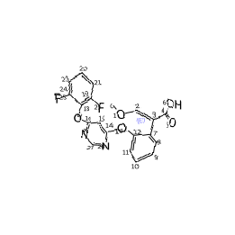 CO/C=C(/C(=O)O)c1ccccc1Oc1cc(Oc2c(F)cccc2F)ncn1